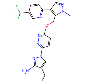 CCc1cn(-c2ccc(OCc3c(-c4ccc(C(F)F)cn4)cnn3C)nn2)nc1N